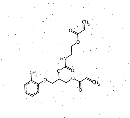 C=CC(=O)OCCNC(=O)OC(COC(=O)C=C)COc1ccccc1C